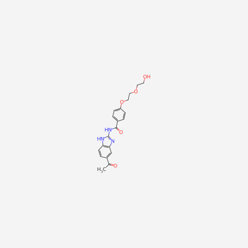 CC(=O)c1ccc2[nH]c(NC(=O)c3ccc(OCCOCCO)cc3)nc2c1